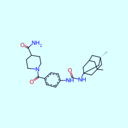 CC12CC3CC(NC(=O)Nc4ccc(C(=O)N5CCC(C(N)=O)CC5)cc4)(C1)C[C@@](C)(C3)C2